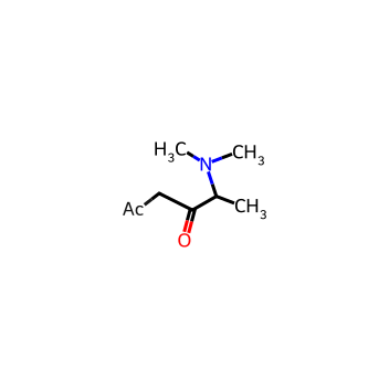 CC(=O)CC(=O)C(C)N(C)C